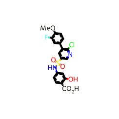 COc1ccc(-c2cc(S(=O)(=O)Nc3ccc(C(=O)O)c(O)c3)cnc2Cl)cc1F